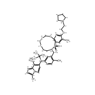 Cc1cnc([C@@H](c2ccn3c(C(F)(F)F)nnc3c2C)C(C)(C)C(=O)O)cc1CN1CCCOCCOc2nc(OCCN3CCCC3)c(C)cc2S1(=O)=O